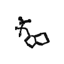 O=[SH](=O)C(F)(F)Cc1cccc2ccccc12